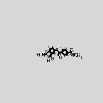 COC(=O)c1ccc(C(C=O)Cc2ccc3nc(N)[nH]c(=O)c3c2)cc1